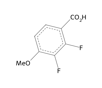 COc1ccc(C(=O)O)c(F)c1F